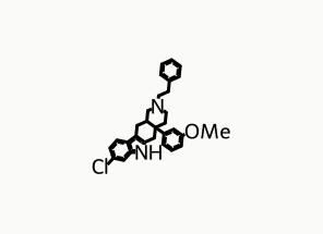 COc1cccc(C23CCN(CCc4ccccc4)CC2Cc2c([nH]c4cc(Cl)ccc24)C3)c1